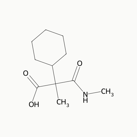 CNC(=O)C(C)(C(=O)O)C1CCCCC1